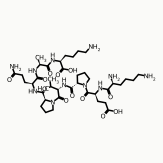 CC(C)[C@H](NC(=O)[C@@H]1CCCN1C(=O)[C@H](CCC(=O)O)NC(=O)[C@@H](N)CCCCN)C(=O)N1CCC[C@H]1C(=O)N[C@@H](CCC(N)=O)C(=O)N[C@@H](C)C(=O)N[C@@H](CCCCN)C(=O)O